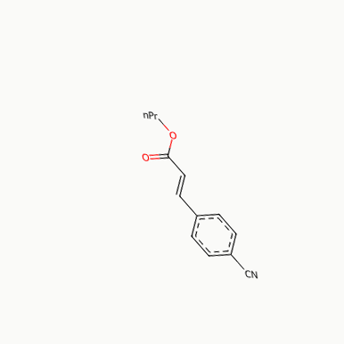 CCCOC(=O)/C=C/c1ccc(C#N)cc1